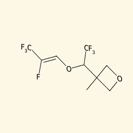 CC1(C(OC=C(F)C(F)(F)F)C(F)(F)F)COC1